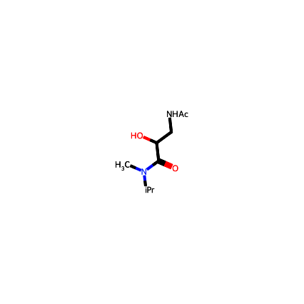 CC(=O)NCC(O)C(=O)N(C)C(C)C